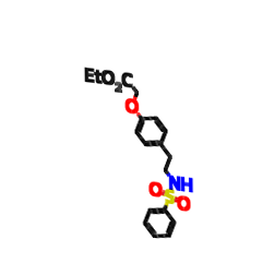 CCOC(=O)COc1ccc(CCNS(=O)(=O)c2ccccc2)cc1